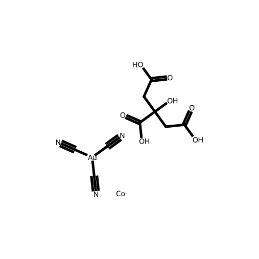 N#[C][Au]([C]#N)[C]#N.O=C(O)CC(O)(CC(=O)O)C(=O)O.[Co]